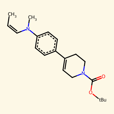 C/C=C\N(C)c1ccc(C2=CCN(C(=O)OC(C)(C)C)CC2)cc1